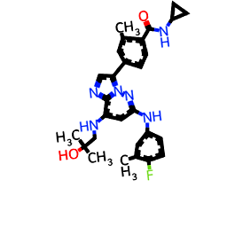 Cc1cc(Nc2cc(NCC(C)(C)O)c3ncc(-c4ccc(C(=O)NC5CC5)c(C)c4)n3n2)ccc1F